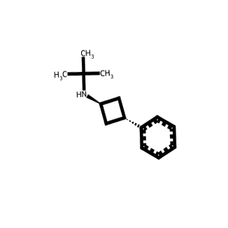 CC(C)(C)N[C@H]1C[C@H](c2ccccc2)C1